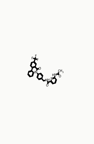 CC(=O)Nc1cccc(C(=O)NCc2ccc(NC(=O)c3cc(C(F)(F)F)ccc3-c3ccccc3)cc2)n1